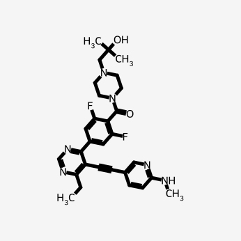 CCc1ncnc(-c2cc(F)c(C(=O)N3CCN(CC(C)(C)O)CC3)c(F)c2)c1C#Cc1ccc(NC)nc1